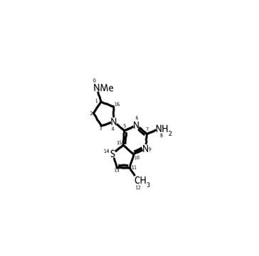 CNC1CCN(c2nc(N)nc3c(C)csc23)C1